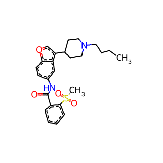 CCCCN1CCC(c2coc3ccc(NC(=O)c4ccccc4S(C)(=O)=O)cc23)CC1